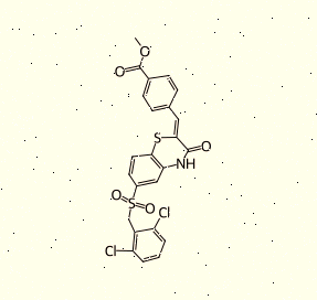 COC(=O)c1ccc(C=C2Sc3ccc(S(=O)(=O)Cc4c(Cl)cccc4Cl)cc3NC2=O)cc1